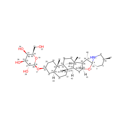 C[C@H]1CC[C@]2(NC1)O[C@H]1C[C@H]3[C@@H]4CC[C@H]5C[C@@H](O[C@@H]6O[C@H](CO)[C@H](O)[C@H](O)[C@H]6O)CC[C@]5(C)[C@H]4CC[C@]3(C)[C@H]1[C@@H]2C